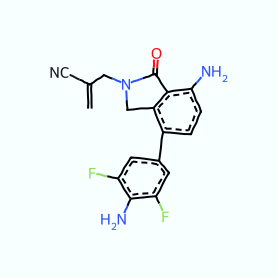 C=C(C#N)CN1Cc2c(-c3cc(F)c(N)c(F)c3)ccc(N)c2C1=O